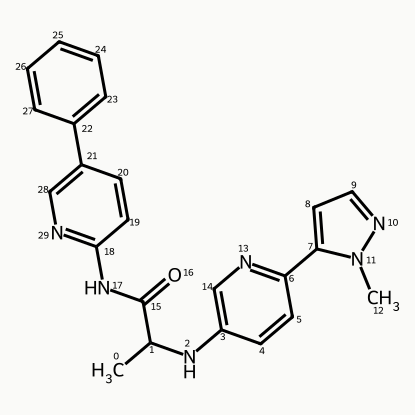 CC(Nc1ccc(-c2ccnn2C)nc1)C(=O)Nc1ccc(-c2ccccc2)cn1